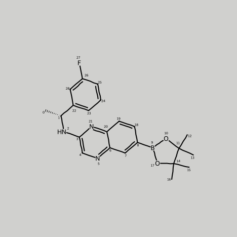 C[C@@H](Nc1cnc2cc(B3OC(C)(C)C(C)(C)O3)ccc2n1)c1cccc(F)c1